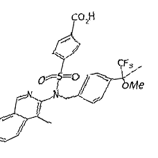 COC(C)(c1ccc(CN(c2ncc3ccccc3c2C)S(=O)(=O)c2ccc(C(=O)O)cc2)cc1)C(F)(F)F